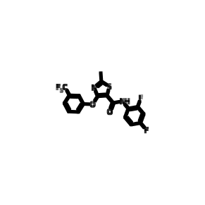 Cc1nc(Oc2cccc(C(F)(F)F)c2)c(C(=O)Nc2ccc(F)cc2F)s1